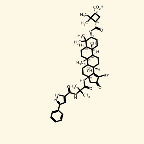 CC(C)C1=C2[C@H]3CC[C@@H]4[C@@]5(C)CC[C@H](OC(=O)[C@H]6C[C@@H](C(=O)O)C6(C)C)C(C)(C)[C@@H]5CC[C@@]4(C)[C@]3(C)CC[C@@]2(NC(=O)C(C)(C)NC(=O)c2cc(-c3ccccc3)n[nH]2)CC1=O